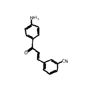 N#Cc1cccc(C=CC(=O)c2ccc(N)cc2)c1